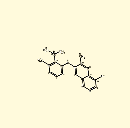 Cc1cccc(Oc2cc3cccc(F)c3nc2C)c1[SiH](C)C